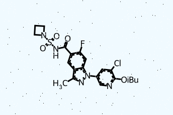 Cc1nn(-c2cnc(OCC(C)C)c(Cl)c2)c2cc(F)c(C(=O)NS(=O)(=O)N3CCC3)cc12